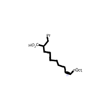 CCCCCCCC/C=C\CCCCCCC(CC(C)C)C(=O)O